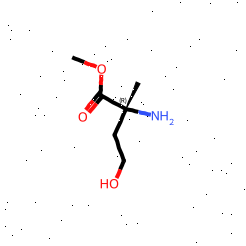 COC(=O)[C@](C)(N)CCO